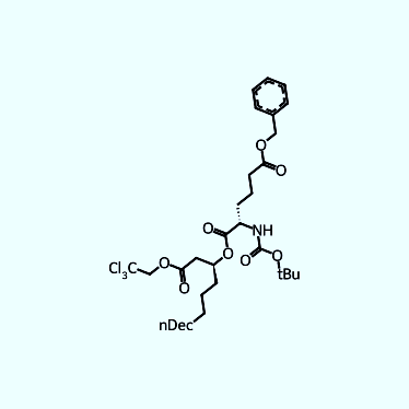 CCCCCCCCCCCCC[C@@H](CC(=O)OCC(Cl)(Cl)Cl)OC(=O)[C@H](CCCC(=O)OCc1ccccc1)NC(=O)OC(C)(C)C